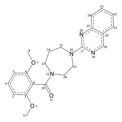 COc1cccc(OC)c1C(=O)N1CCCN(c2ncc3ccccc3n2)CC1